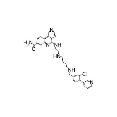 NC(=O)c1ccc2c(c1)nc(NCCNCCCCNCc1ccc(-c3cccnc3)c(Cl)c1)c1ccncc12